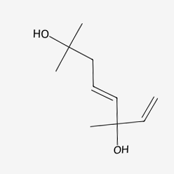 C=CC(C)(O)C=CCC(C)(C)O